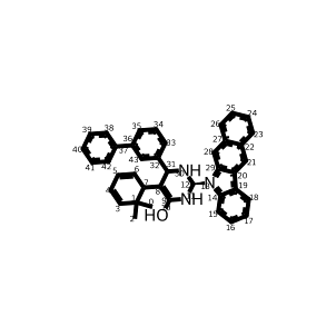 CC1(C)C=CC=CC1C1=C(O)N[C@H](n2c3ccccc3c3cc4ccccc4cc32)NC1c1cccc(-c2ccccc2)c1